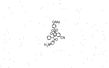 COc1ccc(S(=O)(=O)n2c(=O)n(C(C(=O)N3CC[C@@H](N)C3)c3ccccc3)c3cc(C#N)ccc32)cc1